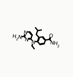 CCN(c1ccnc(N)n1)c1ccc(C(N)=O)cc1CC(C)C